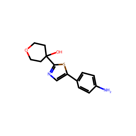 Nc1ccc(-c2cnc(C3(O)CCOCC3)s2)cc1